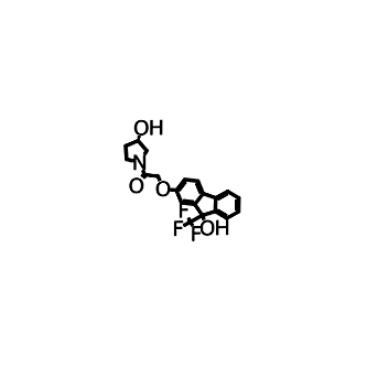 O=C(COc1ccc2c(c1)C(O)(C(F)(F)F)c1ccccc1-2)N1CC[C@@H](O)C1